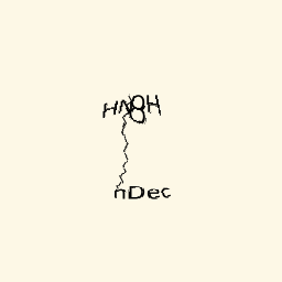 CCCCCCCCCCCCCCCCCCCCCC(=O)NC(C)O